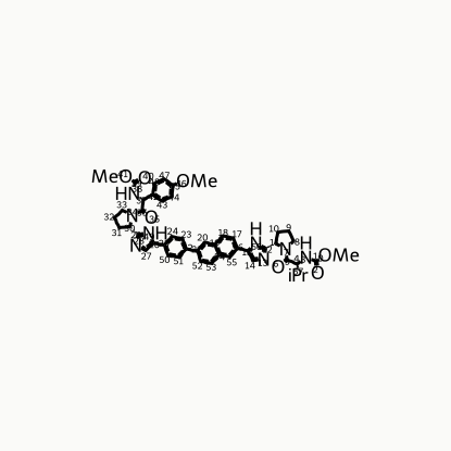 COC(=O)N[C@H](C(=O)N1CCC[C@H]1c1ncc(-c2ccc3cc(-c4ccc(-c5cnc([C@@H]6CCCN6C(=O)[C@H](NC(=O)OC)c6ccc(OC)cc6)[nH]5)cc4)ccc3c2)[nH]1)C(C)C